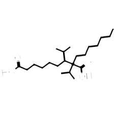 CCCCCCCC(C(=O)O)(C(C)C)C(CCCCCC(=O)O)C(C)C